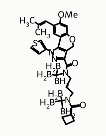 BC(B)(B)N(CCCN(C(=O)C1CCC1)C(B)(B)B)C(=O)c1nn(-c2ccsc2)c2c1COc1cc(OC)c(C=C(C)C)cc1-2